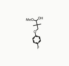 COC(O)C(C)(C)COc1ccc(F)cc1